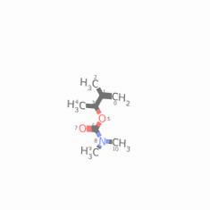 C=C(C)C(C)OC(=O)N(C)C